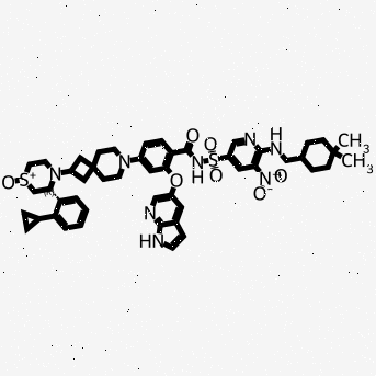 CC1(C)CCC(CNc2ncc(S(=O)(=O)NC(=O)c3ccc(N4CCC5(CC4)CC(N4CC[S+]([O-])C[C@H]4c4ccccc4C4CC4)C5)cc3Oc3cnc4[nH]ccc4c3)cc2[N+](=O)[O-])CC1